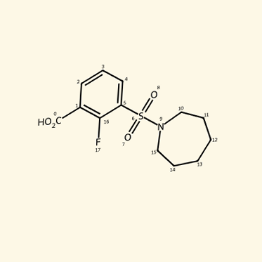 O=C(O)c1cccc(S(=O)(=O)N2CCCCCC2)c1F